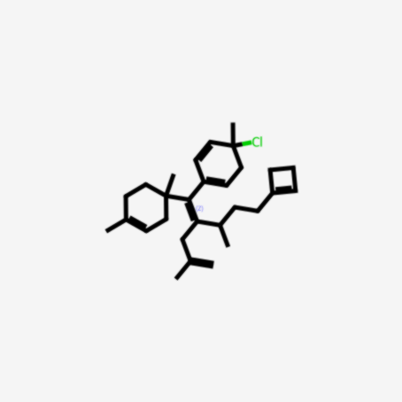 C=C(C)C/C(=C(/C1=CCC(C)(Cl)C=C1)C1(C)CC=C(C)CC1)C(C)CCC1=CCC1